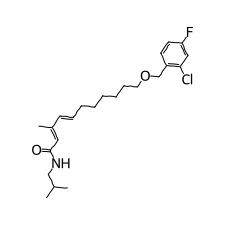 CC(C=CCCCCCCOCc1ccc(F)cc1Cl)=CC(=O)NCC(C)C